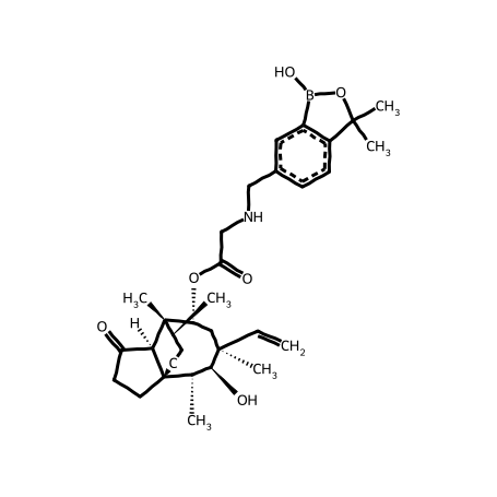 C=C[C@]1(C)C[C@@H](OC(=O)CNCc2ccc3c(c2)B(O)OC3(C)C)[C@]2(C)[C@H](C)CC[C@]3(CCC(=O)[C@H]32)[C@@H](C)[C@@H]1O